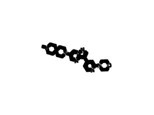 CN1CCC2(CC1)CCN(c1cnc3c(-c4ccnc(N5CCOCC5)c4)cnn3c1)CC2